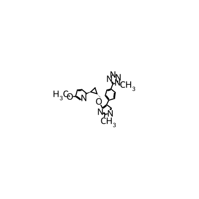 COc1ccc([C@H]2C[C@@H]2COc2nc(C)ncc2-c2ccc(-c3nnnn3C)cc2)nc1